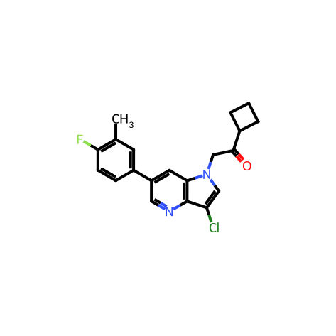 Cc1cc(-c2cnc3c(Cl)cn(CC(=O)C4CCC4)c3c2)ccc1F